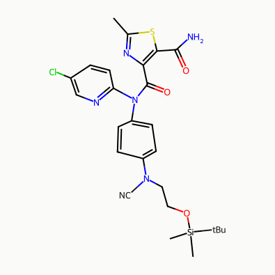 Cc1nc(C(=O)N(c2ccc(N(C#N)CCO[Si](C)(C)C(C)(C)C)cc2)c2ccc(Cl)cn2)c(C(N)=O)s1